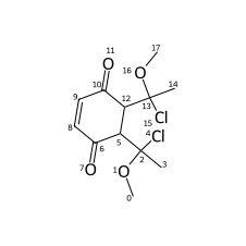 COC(C)(Cl)C1C(=O)C=CC(=O)C1C(C)(Cl)OC